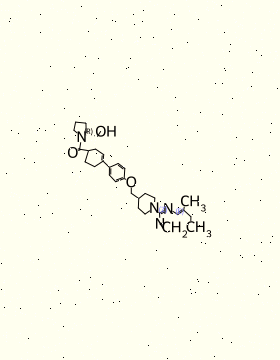 C=N/C(=N\C=C(/C)CC)N1CCC(COc2ccc(C3=CCC(C(=O)N4CCC[C@@H]4CO)CC3)cc2)CC1